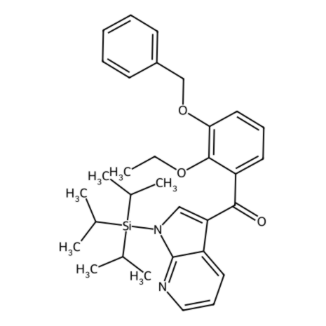 CCOc1c(OCc2ccccc2)cccc1C(=O)c1cn([Si](C(C)C)(C(C)C)C(C)C)c2ncccc12